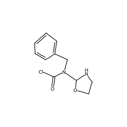 O=C(Cl)N(Cc1ccccc1)C1NCCO1